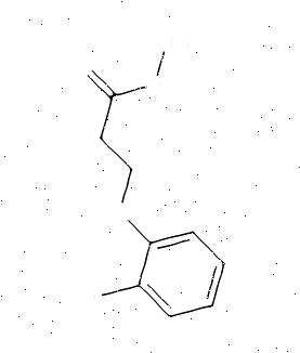 CC(C)(C)OC(=O)CCOc1ccccc1Br